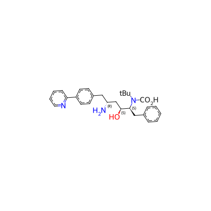 CC(C)(C)N(C(=O)O)[C@@H](Cc1ccccc1)[C@@H](O)C[C@H](N)Cc1ccc(-c2ccccn2)cc1